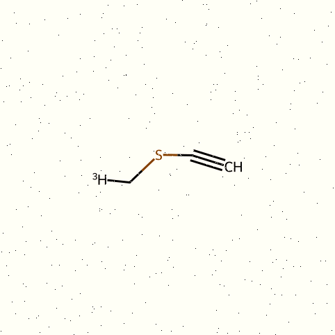 [3H]CSC#C